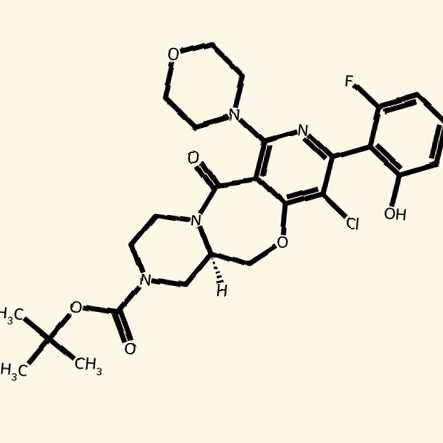 CC(C)(C)OC(=O)N1CCN2C(=O)c3c(N4CCOCC4)nc(-c4c(O)cccc4F)c(Cl)c3OC[C@H]2C1